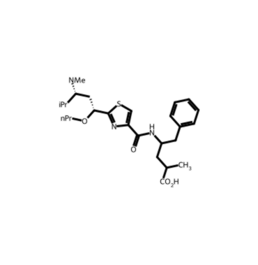 CCCO[C@H](C[C@@H](NC)C(C)C)c1nc(C(=O)NC(Cc2ccccc2)CC(C)C(=O)O)cs1